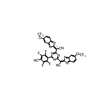 N#C/C(=C1\N=c2ccc(OC(F)(F)F)cc2=N1)c1nc(/C(C#N)=C2/N=c3ccc(OC(F)(F)F)cc3=N2)nc(-c2c(F)c(F)c(C#N)c(F)c2F)n1